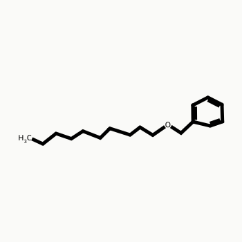 CCCCCC[CH]CCCOCc1ccccc1